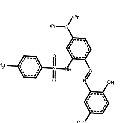 CCCN(CCC)c1ccc(N=Nc2cc([N+](=O)[O-])ccc2O)c(NS(=O)(=O)c2ccc(C)cc2)c1